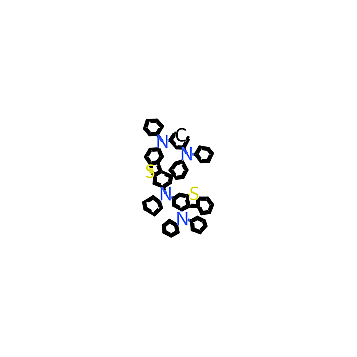 c1ccc(N(c2ccccc2)c2cccc(N(c3ccccc3)c3ccc4sc5cc(N(c6ccccc6)c6cc(N(c7ccccc7)c7ccccc7)c7c(c6)sc6ccccc67)ccc5c4c3)c2)cc1